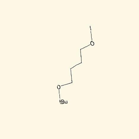 CC(C)(C)OCCCCOI